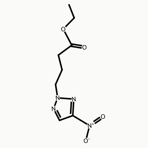 CCOC(=O)CCCn1ncc([N+](=O)[O-])n1